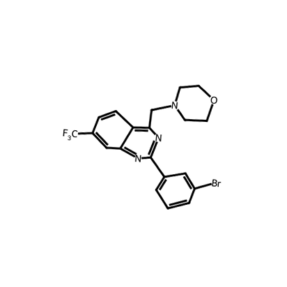 FC(F)(F)c1ccc2c(CN3CCOCC3)nc(-c3cccc(Br)c3)nc2c1